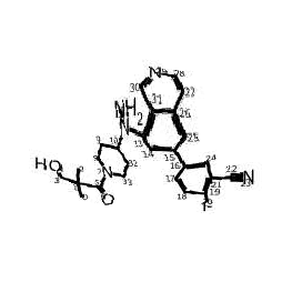 CC(C)(CO)C(=O)N1CCC(N(N)c2cc(-c3ccc(F)c(C#N)c3)cc3ccncc23)CC1